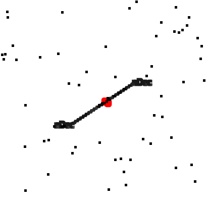 CCCCCCCCCCCCCCCCCCCCCCCCCCCCCCCCCCOC(=O)CCCCCCCCCCCCCCCCCCCCCCCCCCCCCC